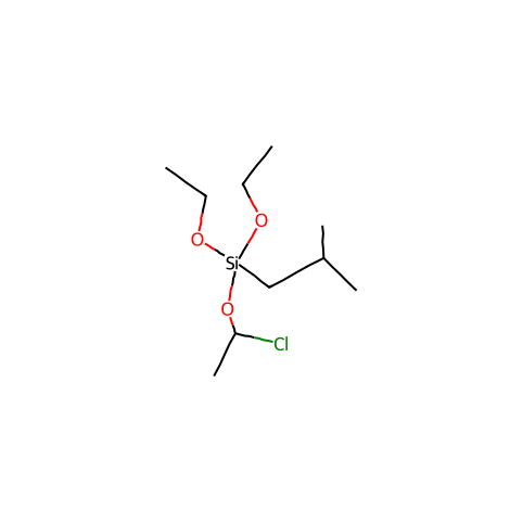 CCO[Si](CC(C)C)(OCC)OC(C)Cl